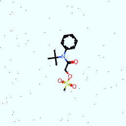 CC(C)(C)N(C(=O)COS(C)(=O)=O)c1ccccc1